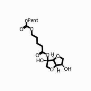 CCCCCC(=O)OCCCCC(=O)O[C@@]1(O)CO[C@@H]2[C@H](O)CO[C@@H]21